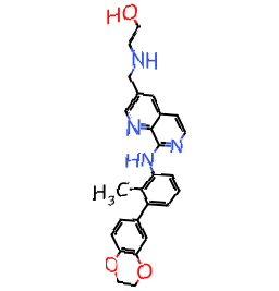 Cc1c(Nc2nccc3cc(CNCCO)cnc23)cccc1-c1ccc2c(c1)OCCO2